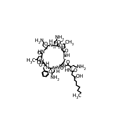 CCCCCCC[C@@H](O)CC(=O)N[C@H](CCN)C(=O)N[C@H]1CCNC(=O)[C@H](CC(C)C)NC(=O)[C@H](CCN)NC(=O)[C@H](CCN)NC(=O)[C@H](CC(C)C)NC(=O)[C@@H](Cc2ccccc2)NC(=O)N(CCN)NC1=O